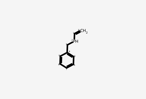 C=CPCc1ccccc1